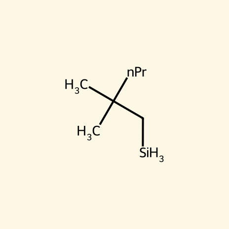 CCCC(C)(C)C[SiH3]